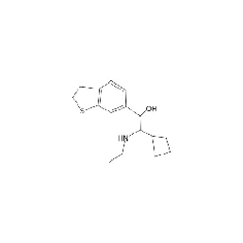 CCNC(C1CCC1)C(O)c1ccc2c(c1)SCC2